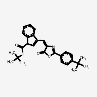 CC(C)(C)OC(=O)C1C=C(/C=C2/N=C(c3ccc(C(C)(C)C)cc3)OC2=O)c2ccccc21